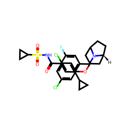 O=C(NS(=O)(=O)C1CC1)c1cc(C2CC2)c(CN2C3CC[C@@H]2CC(Oc2cc(Cl)cc(Cl)c2)C3)cc1F